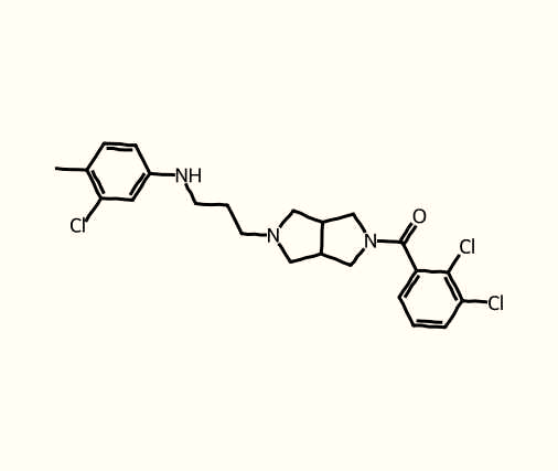 Cc1ccc(NCCCN2CC3CN(C(=O)c4cccc(Cl)c4Cl)CC3C2)cc1Cl